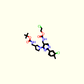 Cc1ccc(-c2ncc(CNC(=O)OCCCl)c(N3CCC(CNC(=O)OC(C)(C)C)C3)n2)cc1Cl